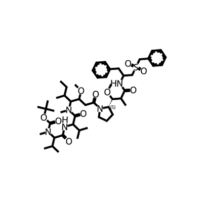 CCC(C)C(C(CC(=O)N1CCC[C@H]1C(OC)C(C)C(=O)NC(Cc1ccccc1)CS(=O)(=O)Cc1ccccc1)OC)N(C)C(=O)C(NC(=O)C(C(C)C)N(C)C(=O)OC(C)(C)C)C(C)C